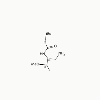 CO[C@H](C)[C@@H](CN)NC(=O)OC(C)(C)C